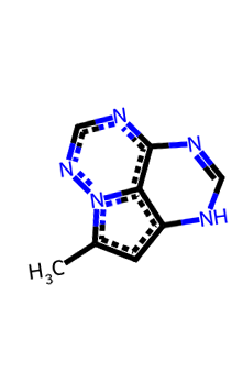 Cc1cc2c3c(ncnn13)N=CN2